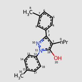 CCCc1c(-c2cccc(C)c2)nn(-c2ccc(C)cc2)c1O